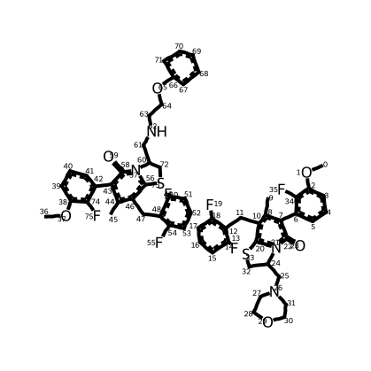 COc1cccc(-c2c(C)c(Cc3c(F)cccc3F)c3n(c2=O)C(CN2CCOCC2)CS3)c1F.COc1cccc(-c2c(C)c(Cc3c(F)cccc3F)c3n(c2=O)C(CNCCOc2ccccc2)CS3)c1F